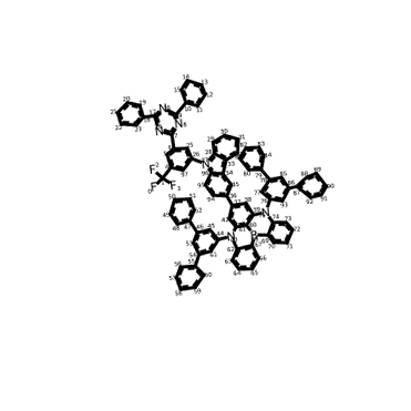 FC(F)(F)c1cc(-c2nc(-c3ccccc3)nc(-c3ccccc3)n2)cc(-n2c3ccccc3c3cc(-c4cc5c6c(c4)N(c4cc(-c7ccccc7)cc(-c7ccccc7)c4)c4ccccc4B6c4ccccc4N5c4cc(-c5ccccc5)cc(-c5ccccc5)c4)ccc32)c1